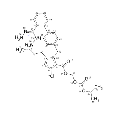 CCCCc1nc(Cl)c(C(=O)OCOC(=O)OC(C)C)n1Cc1ccc(-c2ccccc2/C(=N/N)NN)cc1